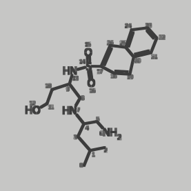 CC(C)CC(CN)NCC(CCO)NS(=O)(=O)c1ccc2ccccc2c1